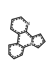 c1cnc2c(c1)c1ccccc1n1cccc21